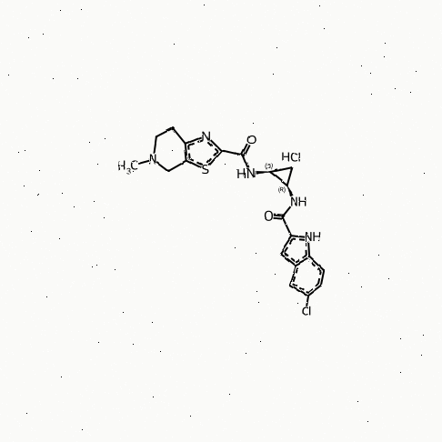 CN1CCc2nc(C(=O)N[C@H]3C[C@H]3NC(=O)c3cc4cc(Cl)ccc4[nH]3)sc2C1.Cl